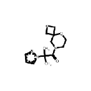 CC(C)(C(=O)N1CCOC2(COC2)C1)n1c[c]cn1